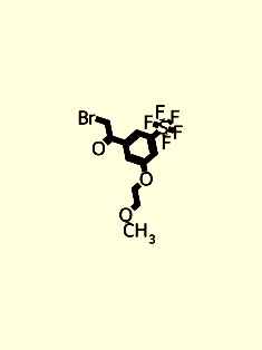 COCCOc1cc(C(=O)CBr)cc(S(F)(F)(F)(F)F)c1